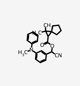 CN(c1ccccc1)c1cccc(C(C#N)OC(=O)C2C(C)(C)C23CCCC3)c1